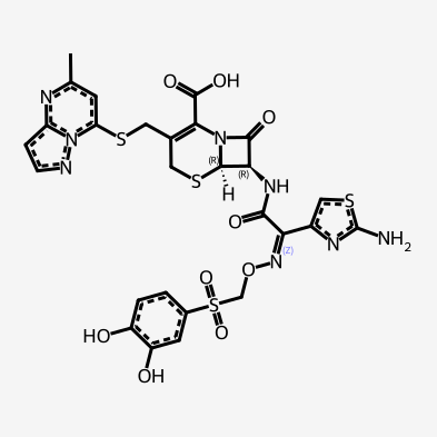 Cc1cc(SCC2=C(C(=O)O)N3C(=O)[C@@H](NC(=O)/C(=N\OCS(=O)(=O)c4ccc(O)c(O)c4)c4csc(N)n4)[C@H]3SC2)n2nccc2n1